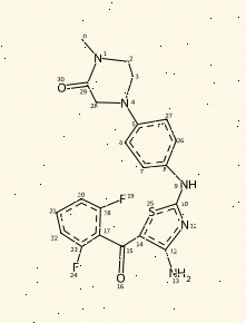 CN1CCN(c2ccc(Nc3nc(N)c(C(=O)c4c(F)cccc4F)s3)cc2)CC1=O